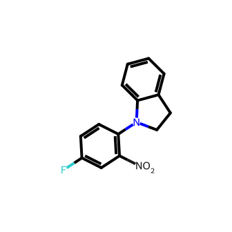 O=[N+]([O-])c1cc(F)ccc1N1CCc2ccccc21